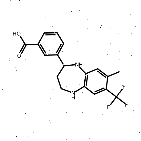 Cc1cc2c(cc1C(F)(F)F)NCCC(c1cccc(C(=O)O)c1)N2